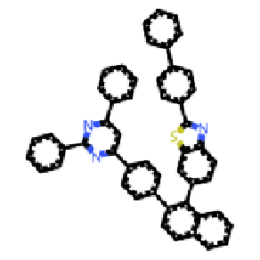 c1ccc(-c2ccc(-c3nc4ccc(-c5c(-c6ccc(-c7cc(-c8ccccc8)nc(-c8ccccc8)n7)cc6)ccc6ccccc56)cc4s3)cc2)cc1